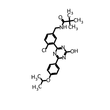 CC(C)Oc1ccc(-c2nc(O)nc(-c3cc(CNC(=O)C(C)(C)C)ccc3Cl)n2)cc1